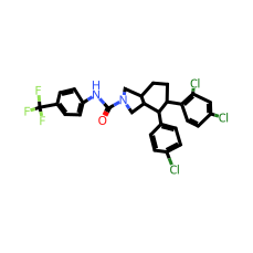 O=C(Nc1ccc(C(F)(F)F)cc1)N1CC2CCC(c3ccc(Cl)cc3Cl)C(c3ccc(Cl)cc3)C2C1